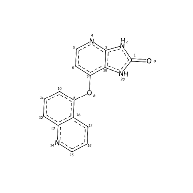 O=c1[nH]c2nccc(Oc3cccc4ncccc34)c2[nH]1